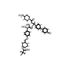 NC1CCN(C(=O)[C@@H](NC(=O)[C@H](O)c2ccc(OCC3CCCCC3)cc2)C(F)(F)c2ccc(-c3ccc(Cl)cc3)cc2)CC1.O=C(O)C(F)(F)F